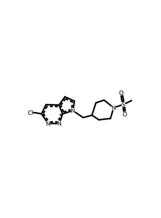 CS(=O)(=O)N1CCC(Cn2ccc3cc(Cl)nnc32)CC1